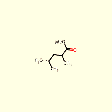 COC(=O)[C@@H](C)C[C@H](C)C(F)(F)F